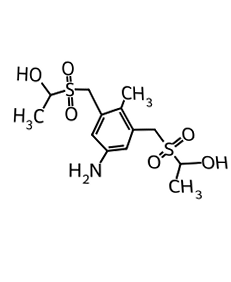 Cc1c(CS(=O)(=O)C(C)O)cc(N)cc1CS(=O)(=O)C(C)O